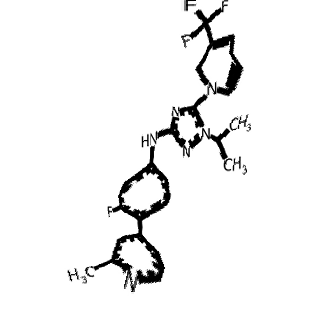 Cc1cc(-c2ccc(Nc3nc(N4C=CC=C(C(F)(F)F)C4)n(C(C)C)n3)cc2F)ccn1